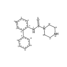 O=C(Nc1ccn[c]c1-c1ccccc1)N1CCNCC1